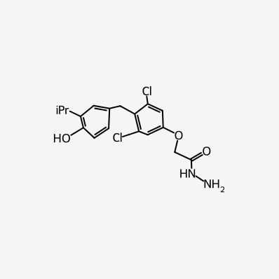 CC(C)c1cc(Cc2c(Cl)cc(OCC(=O)NN)cc2Cl)ccc1O